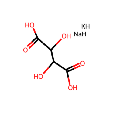 O=C(O)C(O)C(O)C(=O)O.[KH].[NaH]